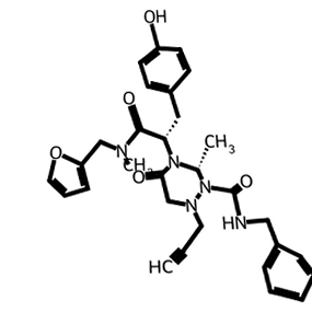 C#CCN1CC(=O)N([C@@H](Cc2ccc(O)cc2)C(=O)N(C)Cc2ccco2)[C@H](C)N1C(=O)NCc1ccccc1